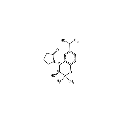 CC1(C)Oc2ccc(C(O)C(F)(F)F)cc2[C@@H](N2CCCC2=O)[C@@H]1O